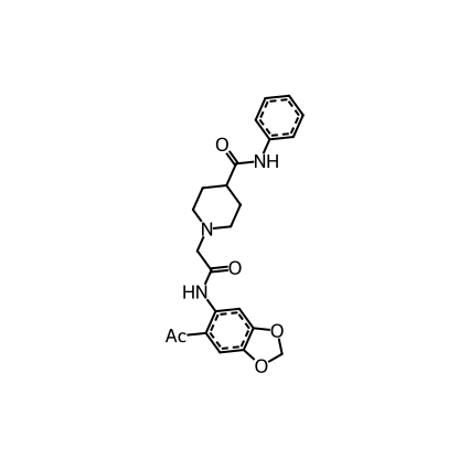 CC(=O)c1cc2c(cc1NC(=O)CN1CCC(C(=O)Nc3ccccc3)CC1)OCO2